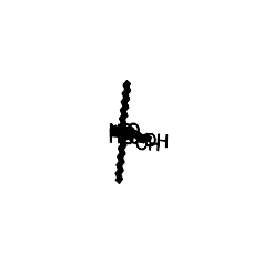 CCCCCCCCCCC=CC(C=CCCCCCCCCCC)(C[N+](C)(C)C)OP(=O)(O)OCC(O)CO